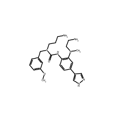 COc1cccc(CN(CCCN)C(=O)Nc2ccc(-c3cn[nH]c3)cc2N(C)CCN)c1